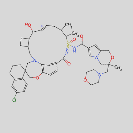 CC1C/C=C/C(O)C2CCC2CN2CC3(CCCc4cc(Cl)ccc43)COc3ccc(cc32)C(=O)N=S(=O)(NC(=O)c2cc3n(c2)CC(C)(CN2CCOCC2)OC3)C1C